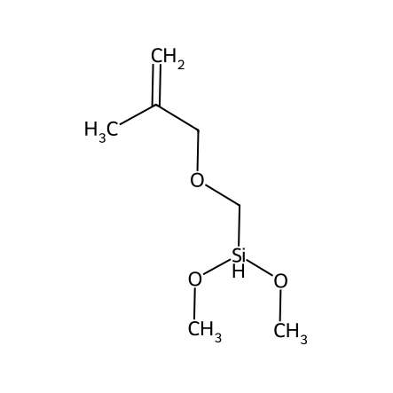 C=C(C)COC[SiH](OC)OC